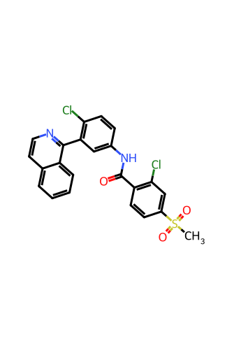 CS(=O)(=O)c1ccc(C(=O)Nc2ccc(Cl)c(-c3nccc4ccccc34)c2)c(Cl)c1